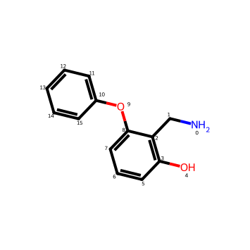 NCc1c(O)cccc1Oc1ccccc1